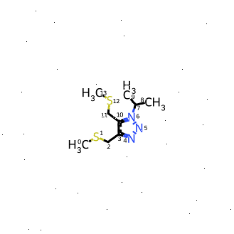 CSCc1nnn(C(C)C)c1CSC